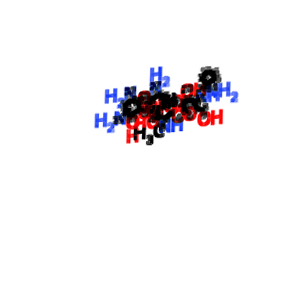 CNC1C(O[C@H]2OC(CO)[C@@H](NCC3(N)CCCC3)C(O)C2O)O[C@H]2CC(N)[C@@H](O[C@@H]3C(N)C[C@@H](N)C(O)C3O)OC2C1O